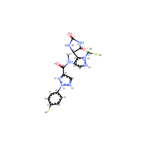 O=C1NC(=O)[C@@](CNC(=O)c2cnn(-c3ccc(F)cc3)n2)(c2ccnn2C(F)F)N1